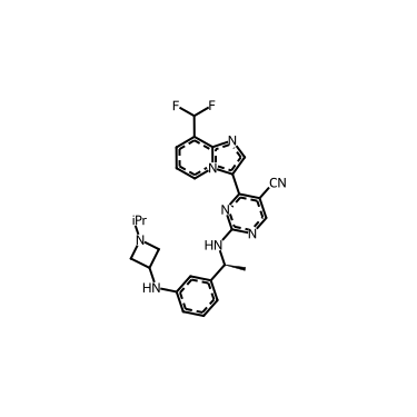 CC(C)N1CC(Nc2cccc([C@H](C)Nc3ncc(C#N)c(-c4cnc5c(C(F)F)cccn45)n3)c2)C1